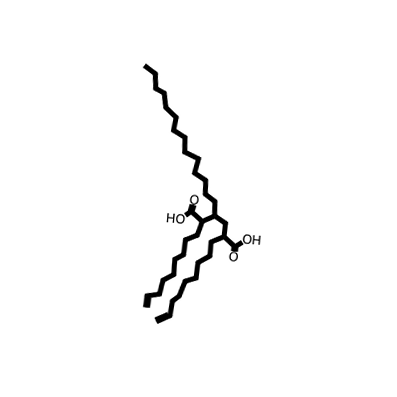 C=CCCCCCCCC(CC(CCCCCCCCCCCCCC)C(CCCCCCCC=C)C(=O)O)C(=O)O